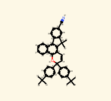 CC(C)(C)c1ccc(C2(c3ccc(C(C)(C)C)cc3)C=Cc3c4c(c5ccccc5c3O2)-c2ccc(C#N)cc2C4(C)C)cc1